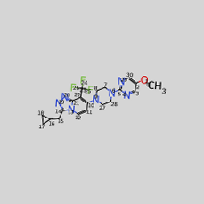 COc1cnc(N2CCN(c3ccn4c(CC5CC5)nnc4c3C(F)(F)F)CC2)nc1